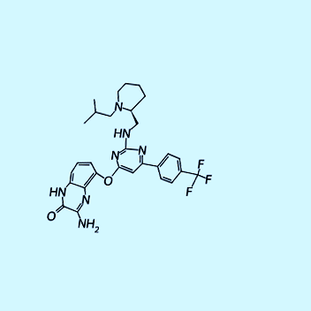 CC(C)CN1CCCC[C@H]1CNc1nc(Oc2cccc3[nH]c(=O)c(N)nc23)cc(-c2ccc(C(F)(F)F)cc2)n1